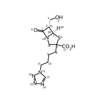 O=C1[C@H](CO)[C@H]2SC(CCCCn3cnnn3)(C(=O)O)CN12